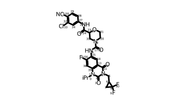 CC(C)n1c(=O)n(CC2CC2(F)F)c(=O)c2cc(NC(=O)N3CCOC(C(=O)Nc4ccc(C#N)c(Cl)c4)C3)c(F)cc21